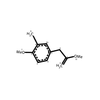 C=C(Cc1ccc(OC)c(C)c1)OC